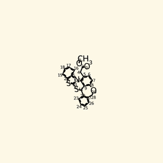 COC(=O)Cc1ccc2c(c1)C(Sc1nc3ccccc3s1)c1ccccc1CO2